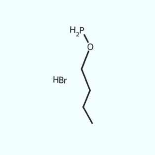 Br.CCCCOP